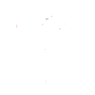 CC(O)(/C=C/[C@H]1CCC(=O)[C@@H]1CCCCCCC(=O)O)CC1CC=CCC1